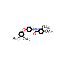 CC(=O)Oc1ccc(Oc2ccc(NC(=O)c3ccc(OC(C)=O)c(OC(C)=O)c3)cc2)cc1OC(C)=O